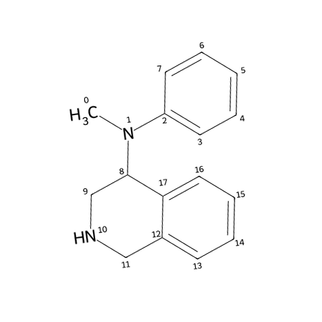 CN(c1ccccc1)C1CNCc2ccccc21